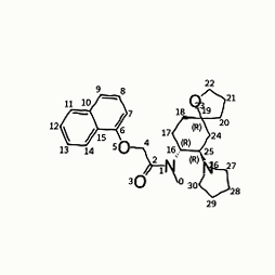 CN(C(=O)COc1cccc2ccccc12)[C@@H]1CC[C@@]2(CCCO2)C[C@H]1N1CCCC1